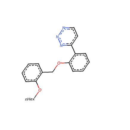 CCCCCCOc1ccccc1COc1ccccc1-c1ccnnn1